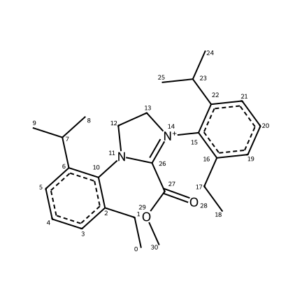 CCc1cccc(C(C)C)c1N1CC[N+](c2c(CC)cccc2C(C)C)=C1C(=O)OC